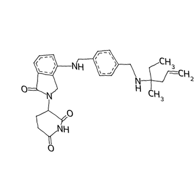 C=CCC(C)(CC)NCc1ccc(CNc2cccc3c2CN(C2CCC(=O)NC2=O)C3=O)cc1